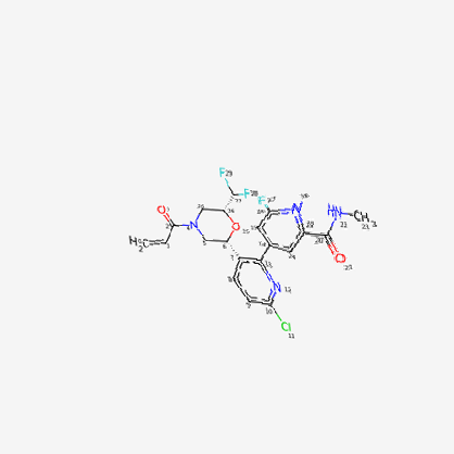 C=CC(=O)N1C[C@@H](c2ccc(Cl)nc2-c2cc(F)nc(C(=O)NC)c2)O[C@@H](C(F)F)C1